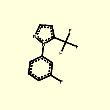 Fc1cccc(-n2nccc2C(F)(F)F)c1